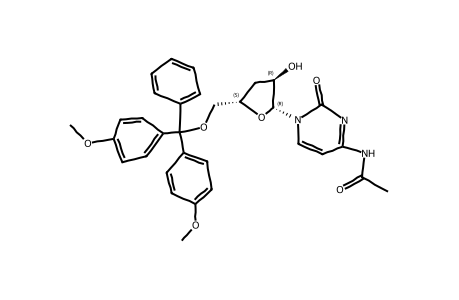 COc1ccc(C(OC[C@@H]2C[C@@H](O)[C@H](n3ccc(NC(C)=O)nc3=O)O2)(c2ccccc2)c2ccc(OC)cc2)cc1